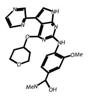 CNC(O)c1ccc(Nc2nc(OC3CCOCC3)c3c(-c4cnccn4)c[nH]c3n2)c(OC)c1